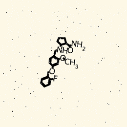 COc1cc(OCc2ccccc2F)ccc1CNC1CCCC1C(N)=O